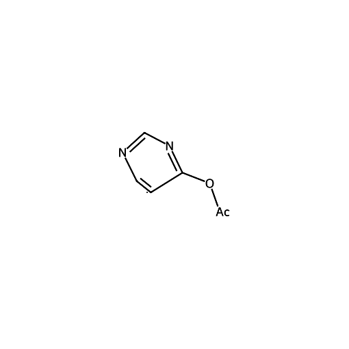 CC(=O)Oc1[c]cncn1